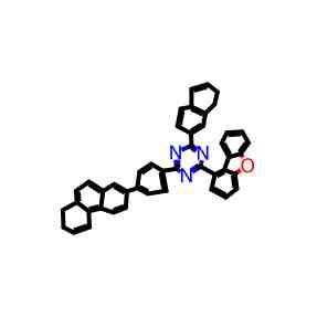 C1=Cc2ccc(-c3nc(-c4ccc(-c5ccc6c7c(ccc6c5)CCC=C7)cc4)nc(-c4cccc5oc6ccccc6c45)n3)cc2CC1